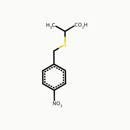 CC(SCc1ccc([N+](=O)[O-])cc1)C(=O)O